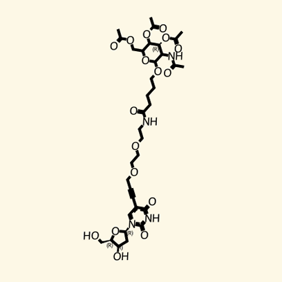 CC(=O)NC1C(OCCCCC(=O)NCCOCCOCC#Cc2cn([C@H]3C[C@@H](O)[C@@H](CO)O3)c(=O)[nH]c2=O)OC(COC(C)=O)C(OC(C)=O)[C@@H]1OC(C)=O